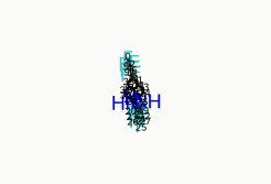 FC(F)(F)C(F)(F)C(F)(F)c1cc2ccc3[nH]n(C(F)(F)C(F)(F)C(F)(F)F)[nH]n4ccc(c1)c2c34